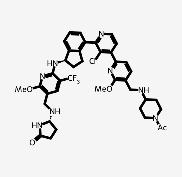 COc1nc(-c2ccnc(-c3cccc4c3CC[C@H]4Nc3nc(OC)c(CN[C@@H]4CCC(=O)N4)cc3C(F)(F)F)c2Cl)ccc1CNC1CCN(C(C)=O)CC1